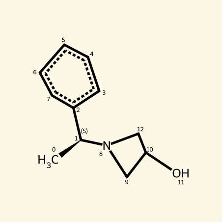 C[C@@H](c1ccccc1)N1CC(O)C1